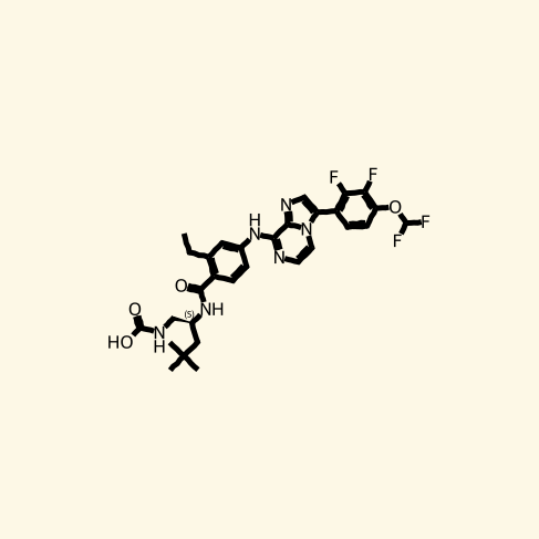 CCc1cc(Nc2nccn3c(-c4ccc(OC(F)F)c(F)c4F)cnc23)ccc1C(=O)N[C@H](CNC(=O)O)CC(C)(C)C